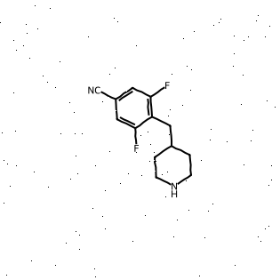 N#Cc1cc(F)c(CC2CCNCC2)c(F)c1